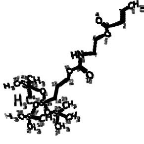 CC=CC(=O)OCCNC(=O)OCCC[Si](O[Si](C)(C)C)(O[Si](C)(C)C)O[Si](C)(C)C